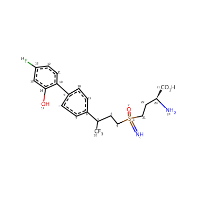 N=S(=O)(CCC(c1ccc(-c2ccc(F)cc2O)cc1)C(F)(F)F)CC[C@H](N)C(=O)O